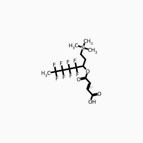 CC(F)(F)C(F)(F)C(F)(F)C(F)(F)C(CC[Si](C)(C)C)OC(=O)/C=C/C(=O)O